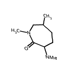 CNC1CCC(C)CN(C)C1=O